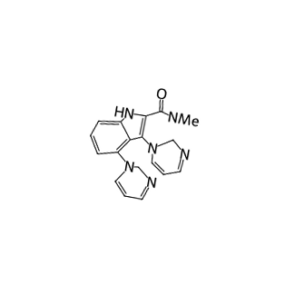 CNC(=O)c1[nH]c2cccc(N3C=CC=NC3)c2c1N1C=CC=NC1